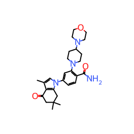 Cc1cn(-c2ccc(C(N)=O)c(N3CCC(N4CCOCC4)CC3)c2)c2c1C(=O)CC(C)(C)C2